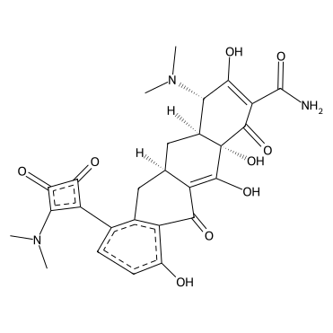 CN(C)c1c(-c2ccc(O)c3c2C[C@H]2C[C@H]4[C@H](N(C)C)C(O)=C(C(N)=O)C(=O)[C@@]4(O)C(O)=C2C3=O)c(=O)c1=O